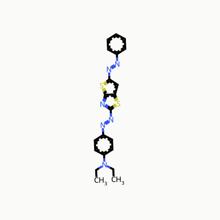 CCN(CC)c1ccc(N=Nc2nc3sc(N=Nc4ccccc4)cc3s2)cc1